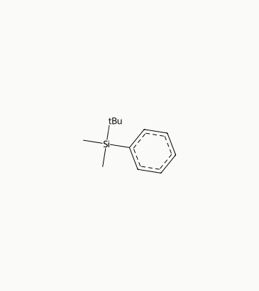 CC(C)(C)[Si](C)(C)c1ccccc1